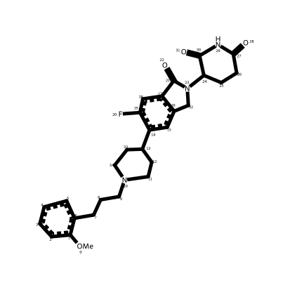 COc1ccccc1CCCN1CCC(c2cc3c(cc2F)C(=O)N(C2CCC(=O)NC2=O)C3)CC1